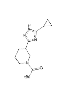 CC(C)(C)C(=O)N1CCCC(c2n[nH]c(C3CC3)n2)C1